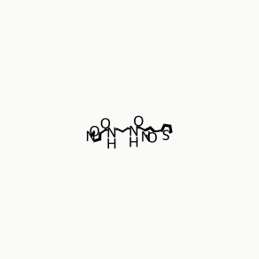 O=C(NCCCNC(=O)c1ccno1)c1cc(-c2cccs2)on1